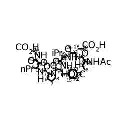 CCCC(NC(=O)[C@@H]1CCCN1C(=O)[C@H](CC1CCCCC1)NC(=O)[C@@H](NC(=O)[C@H](CCC(=O)O)NC(=O)[C@H](CCC(=O)O)NC(C)=O)C(C)C)C(=O)C(=O)NCC(=O)O